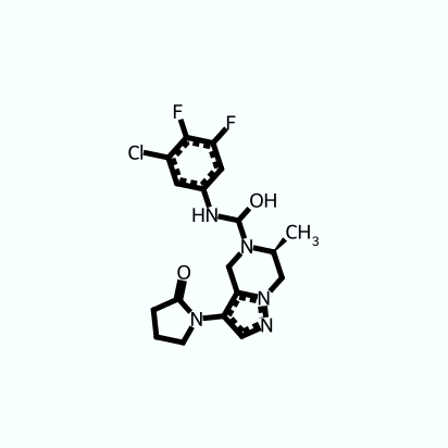 C[C@H]1Cn2ncc(N3CCCC3=O)c2CN1C(O)Nc1cc(F)c(F)c(Cl)c1